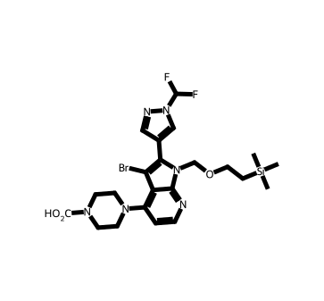 C[Si](C)(C)CCOCn1c(-c2cnn(C(F)F)c2)c(Br)c2c(N3CCN(C(=O)O)CC3)ccnc21